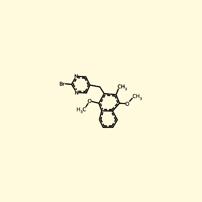 COc1c(C)c(Cc2cnc(Br)nc2)c(OC)c2ccccc12